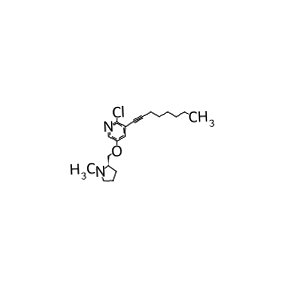 CCCCCCC#Cc1cc(OC[C@H]2CCCN2C)cnc1Cl